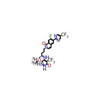 [2H]C([2H])([2H])OC[C@@H](CCCn1ccc2cc(-c3ncc(C(F)(F)F)cn3)c(F)cc2c1=O)Nc1cn[nH]c(=O)c1C(F)(F)F